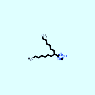 CCCCCCCC(CCCCCCC)c1nc[nH]n1